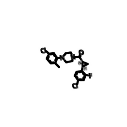 Cc1ccc(Cl)cc1N1CCN(C(=O)[C@H]2C[C@H]2c2ccc(Cl)cc2F)CC1